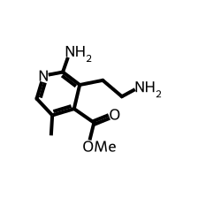 COC(=O)c1c(C)cnc(N)c1CCN